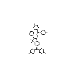 Cc1ccc(N(c2ccc(C)cc2)c2ccc3c(c2)C(C)(C)c2c-3cc(N(c3ccc(C)cc3)c3ccc(C)cc3)c3ccccc23)cc1